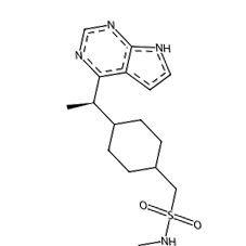 CNS(=O)(=O)CC1CCC([C@@H](C)c2ncnc3[nH]ccc23)CC1